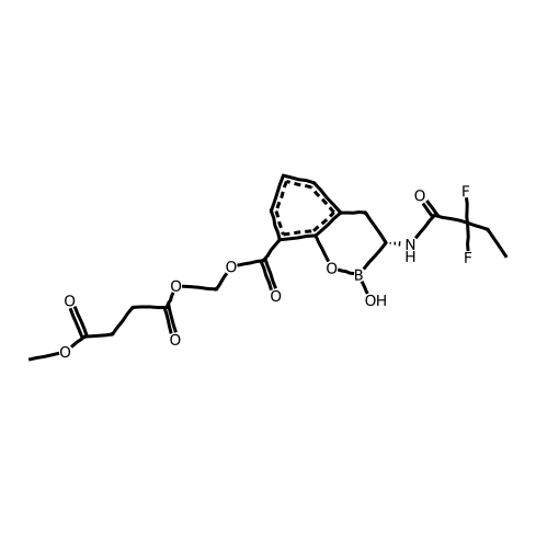 CCC(F)(F)C(=O)N[C@H]1Cc2cccc(C(=O)OCOC(=O)CCC(=O)OC)c2OB1O